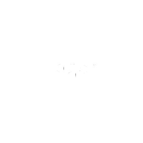 COc1cc(O)c(C(=O)C=Cc2cccc(C(=O)O)c2)c(OC)c1